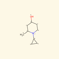 CC1CC(O)CCN1C1CC1